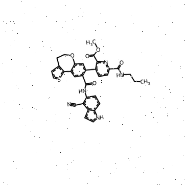 CCCNC(=O)c1ccc(-c2cc3c(cc2C(=O)Nc2ccc4[nH]ccc4c2C#N)-c2sccc2CCO3)c(C(=O)OC)n1